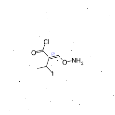 CC(I)/C(=C\ON)C(=O)Cl